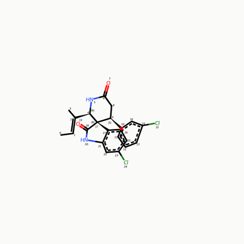 CC=C(C)[C@H]1NC(=O)C[C@@H](c2cccc(Cl)c2)[C@]12C(=O)Nc1cc(Cl)ccc12